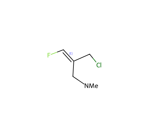 CNC/C(=C\F)CCl